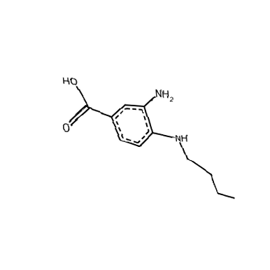 CCCCNc1ccc(C(=O)O)cc1N